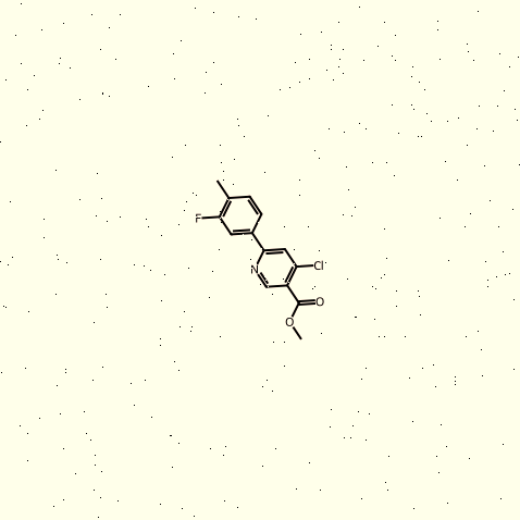 COC(=O)c1cnc(-c2ccc(C)c(F)c2)cc1Cl